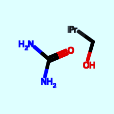 CC(C)CO.NC(N)=O